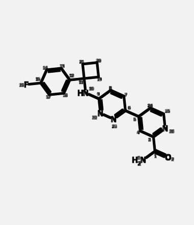 NC(=O)c1cc(-c2ccc(NC3(c4ccc(F)cc4)CCC3)nn2)ccn1